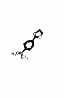 CN(C)c1ccc(C2OCCO2)cc1